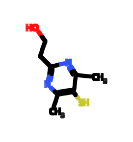 Cc1nc(CCO)nc(C)c1S